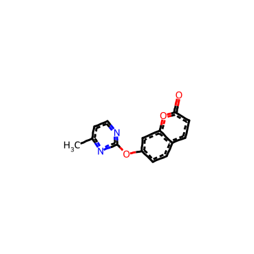 Cc1ccnc(Oc2ccc3ccc(=O)oc3c2)n1